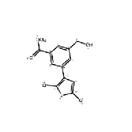 COC(=O)c1cc(CO)cc(-c2cc(Cl)sc2Cl)c1